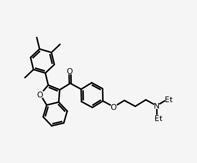 CCN(CC)CCCOc1ccc(C(=O)c2c(-c3cc(C)c(C)cc3C)oc3ccccc23)cc1